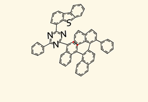 c1ccc(-c2nc(-c3ccc(-c4c(-c5c(-c6ccccc6)ccc6ccccc56)ccc5ccccc45)c4ccccc34)nc(-c3cccc4c3sc3ccccc34)n2)cc1